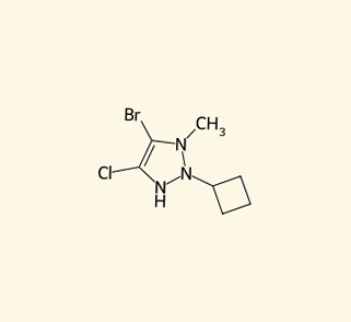 CN1C(Br)=C(Cl)NN1C1CCC1